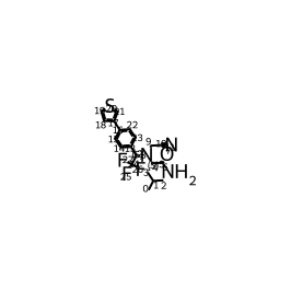 CC(C)C[C@@H](C(N)=O)N(CC#N)[C@@H](c1ccc(-c2ccsc2)cc1)C(F)(F)F